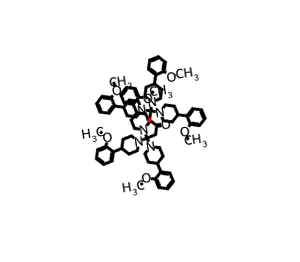 COc1ccccc1C1CCN(C(CC(=O)CC(N2CCC(c3ccccc3OC)CC2)(N2CCC(c3ccccc3OC)CC2)N2CCC(c3ccccc3OC)CC2)(N2CCC(c3ccccc3OC)CC2)N2CCC(c3ccccc3OC)CC2)CC1